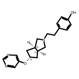 Oc1ccc(CCN2C[C@H]3C[C@H](Oc4cncnc4)C[C@H]3C2)cc1